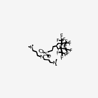 CN(C)CCCN(CCCN(C)C)S(=O)(=O)CCCC(CC(F)(C(F)(F)F)C(F)(F)F)CC(F)(C(F)(F)F)C(F)(F)F